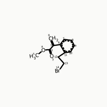 C=C(C(=O)OC)c1ccccc1CCBr